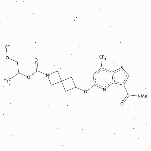 CNC(=O)c1csc2c(C(F)(F)F)cc(OC3CC4(C3)CN(C(=O)OC(C)COC(F)(F)F)C4)nc12